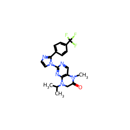 CC(C)N1CC(=O)N(C)c2cnc(-n3ccnc3-c3ccc(C(F)(F)F)cc3)nc21